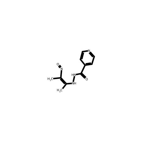 CC(N=O)=C(C)NNC(=O)c1ccncc1